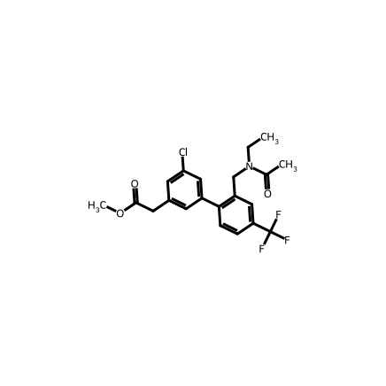 CCN(Cc1cc(C(F)(F)F)ccc1-c1cc(Cl)cc(CC(=O)OC)c1)C(C)=O